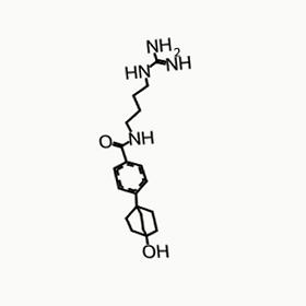 N=C(N)NCCCCNC(=O)c1ccc(C23CCC(O)(CC2)CC3)cc1